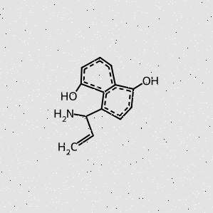 C=CC(N)c1ccc(O)c2cccc(O)c12